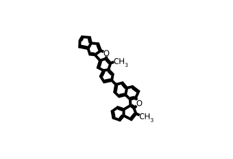 Cc1c2cc(-c3ccc4c(ccc5oc6c(C)cc7ccccc7c6c54)c3)ccc2cc2c1oc1cc3ccccc3cc12